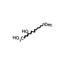 CCCCCCCCCCCCCCCC=CC=CC(O)=CC=CC(=O)O